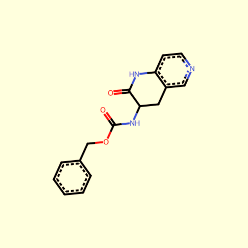 O=C(NC1Cc2cnccc2NC1=O)OCc1ccccc1